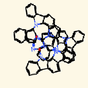 c1ccc(-c2nc(-n3c4ccccc4c4ccc5c6ccc7c8ccccc8n(-c8ccccc8)c7c6n(-c6ccccc6)c5c43)nc(-n3c4c(ccc5c6ccccc6n(-c6ccccc6)c54)c4ccc5c6ccccc6n(-c6ccccc6)c5c43)n2)cc1